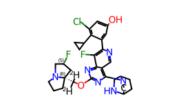 [2H]C([2H])(Oc1nc(N2CC3CCC2CN3)c2cnc(-c3cc(O)cc(Cl)c3C3CC3)c(F)c2n1)[C@]12CCCN1C[C@@H](F)C2